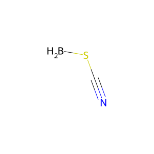 BSC#N